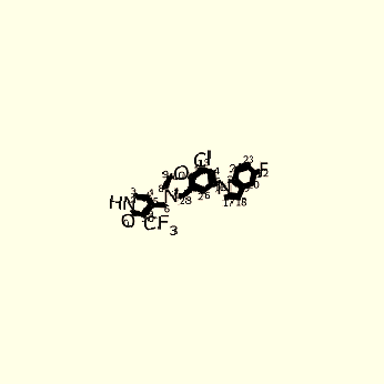 O=c1[nH]ccc(CN2CCOc3c(Cl)cc(-n4ccc5cc(F)ccc54)cc3C2)c1C(F)(F)F